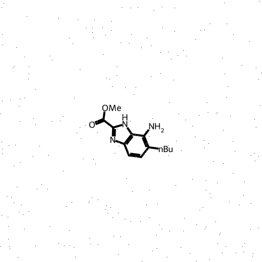 CCCCc1ccc2nc(C(=O)OC)[nH]c2c1N